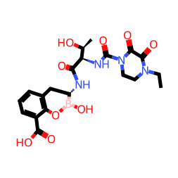 CCN1CCN(C(=O)N[C@@H](C(=O)N[C@H]2Cc3cccc(C(=O)O)c3OB2O)[C@H](C)O)C(=O)C1=O